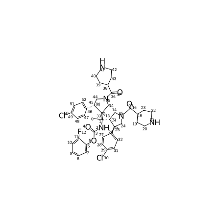 CC(NC(=O)Oc1ccccc1F)([C@@H]1CN(C(=O)C2CCNCC2)C[C@H]1c1ccc(Cl)cc1)[C@@H]1CN(C(=O)C2CCNCC2)C[C@H]1c1ccc(Cl)cc1